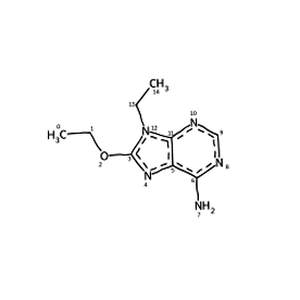 CCOc1nc2c(N)ncnc2n1CC